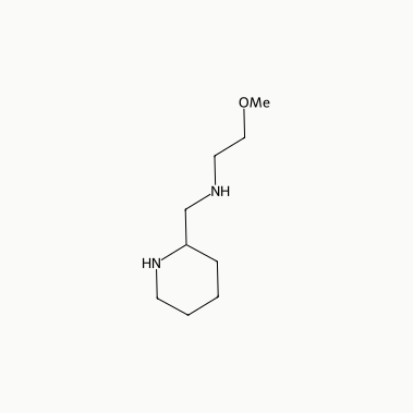 COCCNCC1CCCCN1